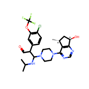 CC(C)NC(C(C=O)c1ccc(Cl)c(OC(F)(F)F)c1)N1CCN(c2ncnc3c2[C@H](C)C[C@H]3O)CC1